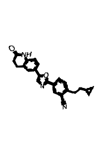 N#Cc1cc(-c2ncc(-c3ccc4c(c3)CCC(=O)N4)o2)ccc1CCC1CC1